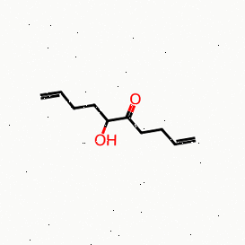 C=CCCC(=O)C(O)CCC=C